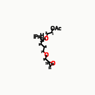 CC(=O)OCCO[SiH](CCCOCC1CO1)C(C)C